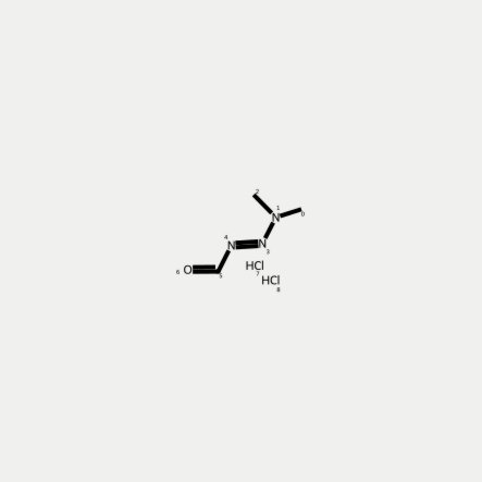 CN(C)N=NC=O.Cl.Cl